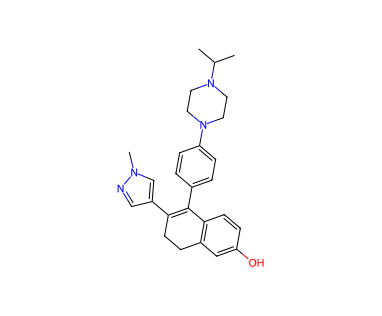 CC(C)N1CCN(c2ccc(C3=C(c4cnn(C)c4)CCc4cc(O)ccc43)cc2)CC1